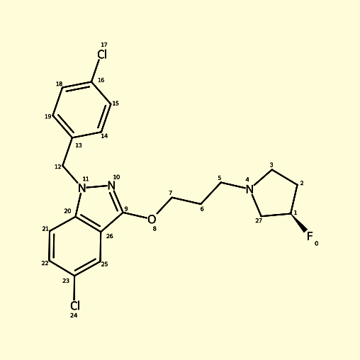 F[C@@H]1CCN(CCCOc2nn(Cc3ccc(Cl)cc3)c3ccc(Cl)cc23)C1